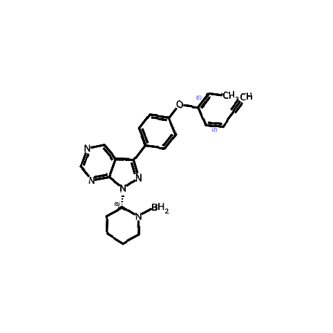 BN1CCCC[C@@H]1n1nc(-c2ccc(OC(/C=C\C#C)=C/C)cc2)c2cncnc21